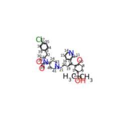 CC(C)(O)C1=CC2=C(CC1)OCc1ncccc1/C2=C\CCN1CCC(N2C(=O)OCC2Cc2ccc(Cl)cc2)CC1